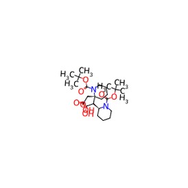 CC(C)(C)OC(=O)N1CCCC[C@H]1C(C(=O)O)[C@@]1(CC(=O)O)CCCCN1C(=O)OC(C)(C)C